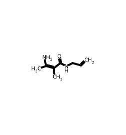 C=CCNC(=O)/C(C)=C(/C)N